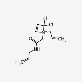 C=CCNC(=O)C[N+]1(CC=C)C=CC1(Cl)Cl